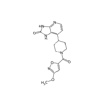 COc1cc(C(=O)N2CCC(c3ccnc4[nH]c(=O)[nH]c34)CC2)on1